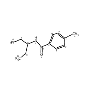 Cc1ccc(C(=O)NC([CH]C(C)C)CC(F)(F)F)cc1